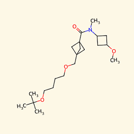 COC1CC(N(C)C(=O)C23CC(COCCCCOC(C)(C)C)(C2)C3)C1